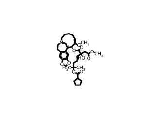 COC(=O)C[C@](O)(CCCC(C)(C)OC(=O)C1CCCC1)C(=O)O[C@@H]1/C(OC)=C\CCCCN2CCc3cc4c(cc3[C@H]1C2)OCO4